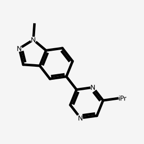 CC(C)c1cncc(-c2ccc3c(cnn3C)c2)n1